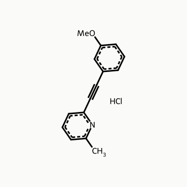 COc1cccc(C#Cc2cccc(C)n2)c1.Cl